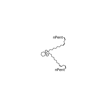 CCCCC/C=C\C/C=C\CCCCCCCC1OC2(CCCCC2)OC1CCCCCCC/C=C\C/C=C\CCCCC